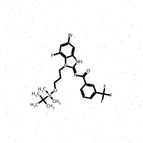 CC(C)(C)[Si](C)(C)OCCCn1/c(=N/C(=O)c2cccc(C(F)(F)F)c2)[nH]c2cc(Br)cc(F)c21